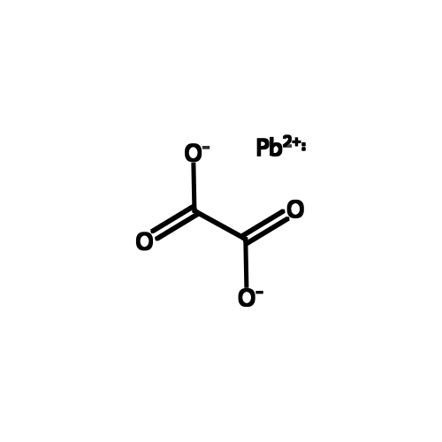 O=C([O-])C(=O)[O-].[Pb+2]